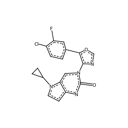 O=c1nc2ccn(C3CC3)c2cn1-c1ncoc1-c1ccc(Cl)c(F)c1